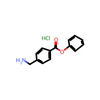 Cl.NCc1ccc(C(=O)Oc2ccccc2)cc1